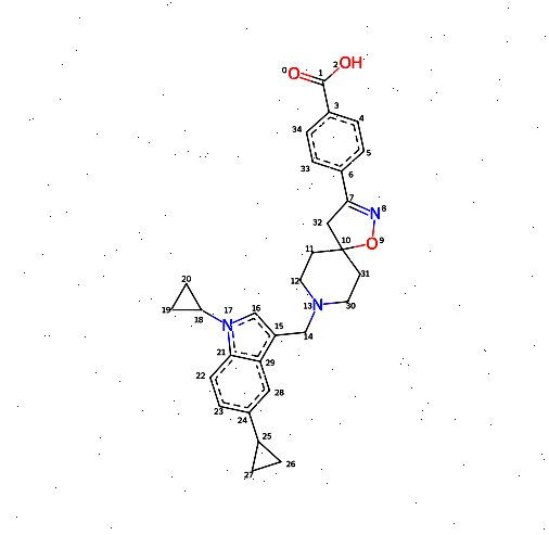 O=C(O)c1ccc(C2=NOC3(CCN(Cc4cn(C5CC5)c5ccc(C6CC6)cc45)CC3)C2)cc1